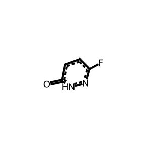 O=c1c[c]c(F)n[nH]1